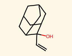 C=CC1(O)C2CC3CC(C2)CC1C3